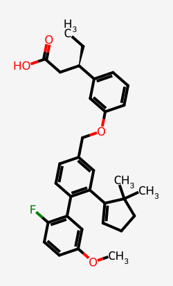 CC[C@H](CC(=O)O)c1cccc(OCc2ccc(-c3cc(OC)ccc3F)c(C3=CCCC3(C)C)c2)c1